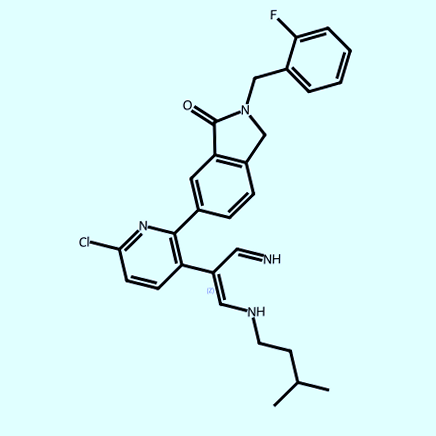 CC(C)CCN/C=C(\C=N)c1ccc(Cl)nc1-c1ccc2c(c1)C(=O)N(Cc1ccccc1F)C2